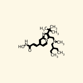 CCC(CC)CN(C)Cc1c(C(C)(C)C)nc2cc(C=CC(=O)NO)ccn12